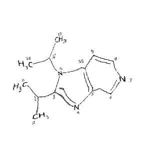 CC(C)c1nc2cnccc2n1C(C)C